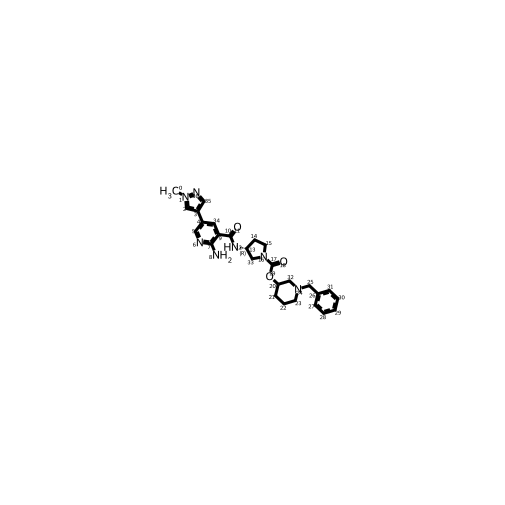 Cn1cc(-c2cnc(N)c(C(=O)N[C@@H]3CCN(C(=O)OC4CCCN(Cc5ccccc5)C4)C3)c2)cn1